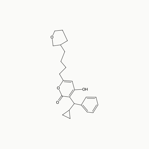 O=c1oc(CCCCC2CCCOC2)cc(O)c1C(c1ccccc1)C1CC1